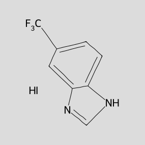 FC(F)(F)c1ccc2[nH]cnc2c1.I